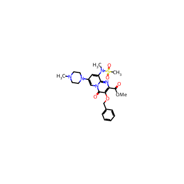 COC(=O)c1nc2c(N(C)S(C)(=O)=O)cc(N3CCN(C)CC3)cn2c(=O)c1OCc1ccccc1